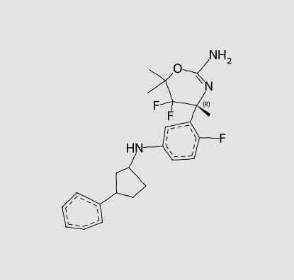 CC1(C)OC(N)=N[C@](C)(c2cc(NC3CCC(c4ccccc4)C3)ccc2F)C1(F)F